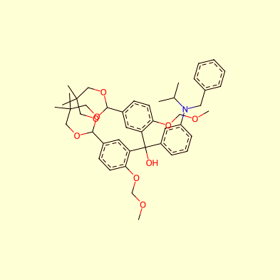 COCOc1ccc(C2OCC(C)(C)CO2)cc1C(O)(c1cccc(N(Cc2ccccc2)C(C)C)c1)c1cc(C2OCC(C)(C)CO2)ccc1OCOC